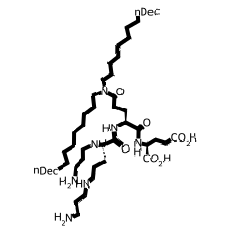 CCCCCCCCCCCCCCCCCCN(CCCCCCCCCCCCCCCCCC)C(=O)CC[C@H](NC(=O)[C@H](CCCNCCCN)NCCCN)C(=O)N[C@@H](CCC(=O)O)C(=O)O